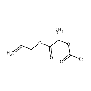 C=CCOC(=O)[C@H](C)OC(=O)[CH]C